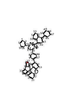 c1ccc(-c2nc(-c3ccc(-c4ccc5c(c4)C4(c6ccccc6O5)c5ccccc5-c5ccccc54)cc3)nc(-c3ccc(-c4ccccc4)c4ccccc34)n2)cc1